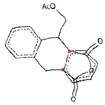 CC(=O)OCC12c3ccccc3C(c3ccccc31)C1C(=O)OC(=O)C12